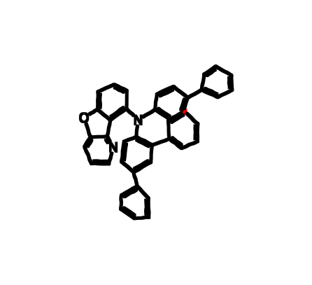 c1ccc(-c2ccc(N(c3ccc(-c4ccccc4)cc3-c3ccccc3)c3cccc4oc5cccnc5c34)cc2)cc1